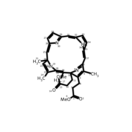 COC(=O)CCC1=C(C)C2=NC1(CCC(=O)OC)/C(C)=C1\NC(C)(C=C1C)/C=C1/C=CC(=N1)/C=c1/cc/c([nH]1)=C/2